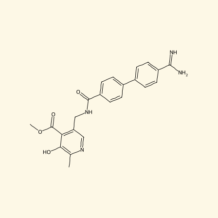 COC(=O)c1c(CNC(=O)c2ccc(-c3ccc(C(=N)N)cc3)cc2)cnc(C)c1O